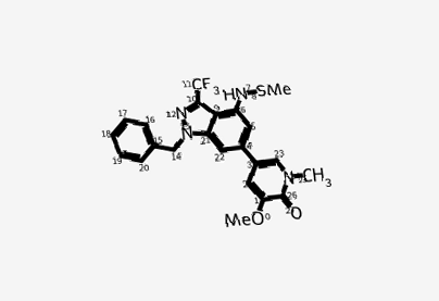 COc1cc(-c2cc(NSC)c3c(C(F)(F)F)nn(Cc4ccccc4)c3c2)cn(C)c1=O